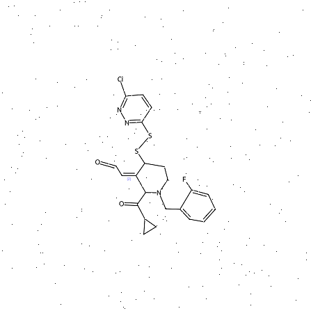 O=C/C=C1\C(SSc2ccc(Cl)nn2)CCN(Cc2ccccc2F)C1C(=O)C1CC1